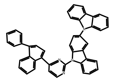 c1ccc(-c2ccc(-c3ccnc(-n4c5ccccc5c5cc(-n6c7ccccc7c7ccccc76)ccc54)n3)c3ccccc23)cc1